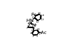 CC(=O)c1cccc(-c2csc(Nc3ccccc3F)n2)c1